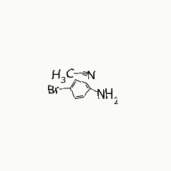 CC#N.Nc1ccc(Br)cc1